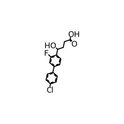 O=C(O)CCC(O)c1ccc(-c2ccc(Cl)cc2)cc1F